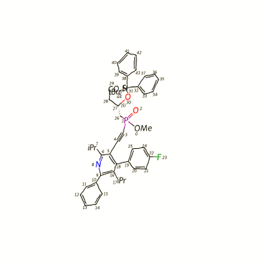 COP(=O)(C#Cc1c(C(C)C)nc(-c2ccccc2)c(C(C)C)c1-c1ccc(F)cc1)C[C@H](CC(=O)O)O[Si](c1ccccc1)(c1ccccc1)C(C)(C)C